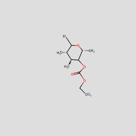 CCC1O[C@H](C)C(OC(=O)OCC(Cl)(Cl)Cl)[C@@H](C)[C@@H]1C